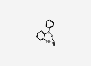 C=CCSN(c1ccccc1)c1ccccc1N